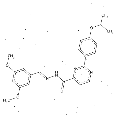 COc1cc(/C=N/NC(=O)c2ccnc(-c3ccc(OC(C)C)cc3)n2)cc(OC)c1